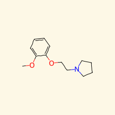 COc1ccccc1OCCN1CCCC1